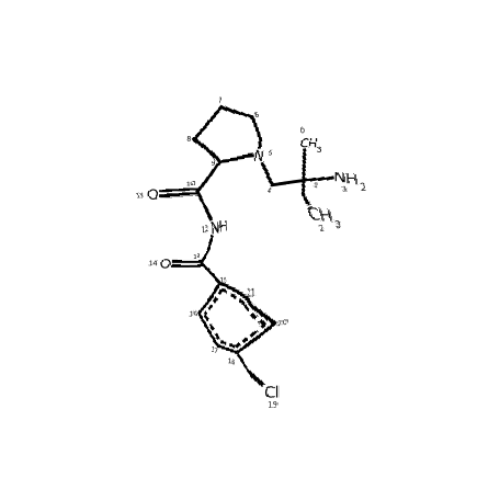 CC(C)(N)CN1CCCC1C(=O)NC(=O)c1ccc(Cl)cc1